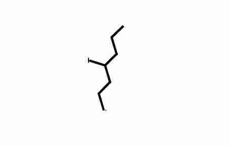 [CH2]CCC(I)CCC